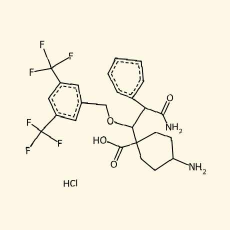 Cl.NC(=O)C(c1ccccc1)C(OCc1cc(C(F)(F)F)cc(C(F)(F)F)c1)C1(C(=O)O)CCC(N)CC1